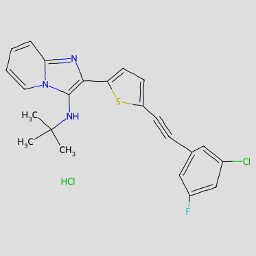 CC(C)(C)Nc1c(-c2ccc(C#Cc3cc(F)cc(Cl)c3)s2)nc2ccccn12.Cl